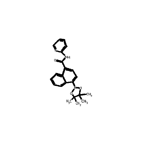 CC1(C)OB(c2ccc(C(=O)Nc3ccccn3)c3ccccc23)OC1(C)C